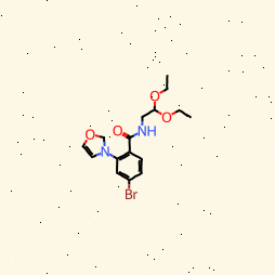 CCOC(CNC(=O)c1ccc(Br)cc1N1C=COC1)OCC